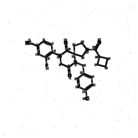 N#Cc1ccc(N2CC(=O)N(Cc3ccc(Cl)cc3)C3(CCN(C(=O)C4CCC4)C3)C2=O)c(F)c1